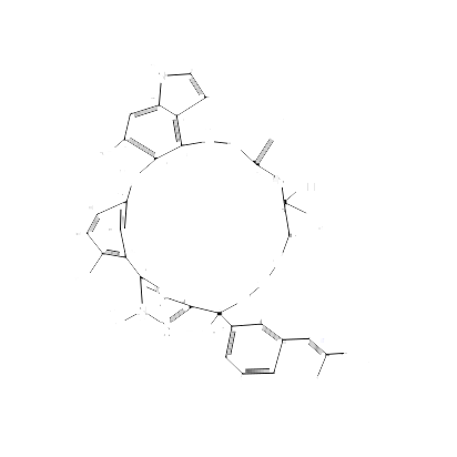 CCOC(=O)/C(C)=C/c1cccc(C2(C)CCCCC(C)(C)NC(=O)OCc3c(c(F)cc4[nH]ccc34)Oc3ccc(F)c(c3)-c3nc2nn3C)c1